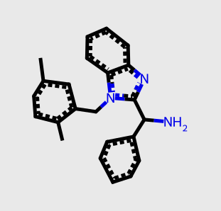 Cc1ccc(C)c(Cn2c(C(N)c3ccccc3)nc3ccccc32)c1